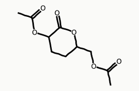 CC(=O)OCC1CCC(OC(C)=O)C(=O)O1